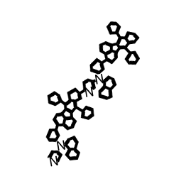 c1ccc(-c2c3c(c(-c4ccccc4)c4ccccc24)-c2ccc(-c4cccc(N(c5ccc(-c6ccc7c(-c8ccccc8)c8c(c(-c9ccccc9)c7c6)-c6cccc7c(-c9cccc(N(c%10ccncc%10)c%10cccc%11ccccc%10%11)c9)ccc-8c67)nc5)c5cccc6ccccc56)c4)c4cccc-3c24)cc1